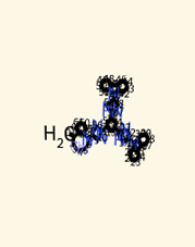 C=C1/C=C\C=C/CN(c2cnc(-c3cc(-c4ncc(-n5c6ccccc6c6ccccc65)cn4)cc(-c4ncc(-n5c6ccccc6c6ccccc65)cn4)c3)nc2)c2ccccc21